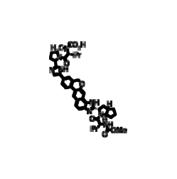 COC(=O)N[C@H](C(=O)N1[C@H](c2nc3ccc4cc5c(cc4c3[nH]2)OCc2cc(-c3cnc(C4CCCN4C(=O)[C@H](C(C)C)N(C)C(=O)O)[nH]3)ccc2-5)C[C@@H]2CCC[C@@H]21)C(C)C